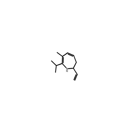 C=CC1CC=CC(C)=C(C(C)C)N1